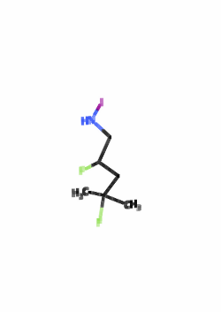 CC(C)(F)CC(F)CNI